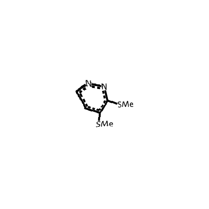 CSc1ccnnc1SC